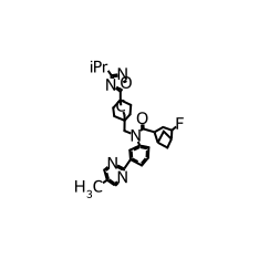 Cc1cnc(-c2cccc(N(CC34CCC(c5nc(C(C)C)no5)(CC3)CC4)C(=O)C3CC(F)C4CC3C4)c2)nc1